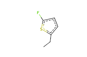 CCc1ccc(F)s1